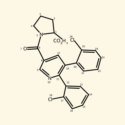 O=C(O)C1CCCN1C(=O)c1cnc(-c2ccccc2Cl)c(-c2ccccc2Cl)c1